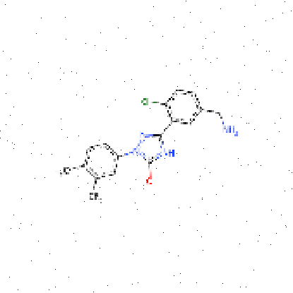 Cc1ccc(-n2nc(-c3cc(CN)ccc3Cl)[nH]c2=O)cc1C(F)(F)F